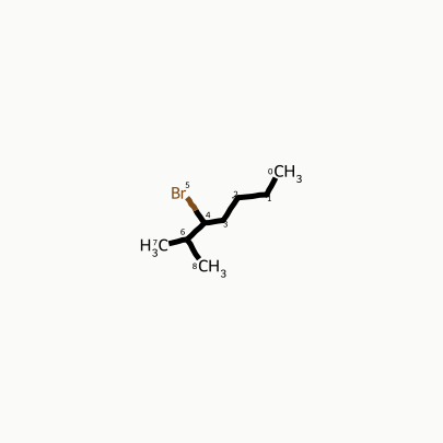 CC[CH]CC(Br)C(C)C